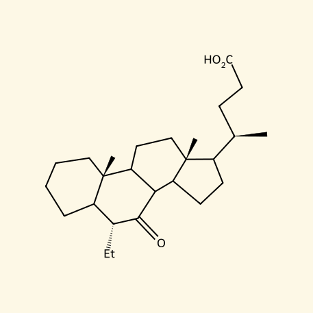 CC[C@H]1C(=O)C2C3CCC([C@H](C)CCC(=O)O)[C@@]3(C)CCC2[C@@]2(C)CCCCC12